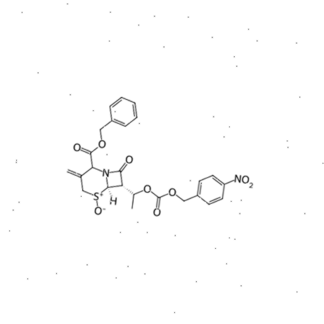 C=C1C[S+]([O-])[C@@H]2[C@@H](C(C)OC(=O)OCc3ccc([N+](=O)[O-])cc3)C(=O)N2C1C(=O)OCc1ccccc1